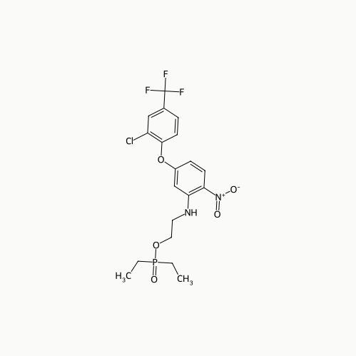 CCP(=O)(CC)OCCNc1cc(Oc2ccc(C(F)(F)F)cc2Cl)ccc1[N+](=O)[O-]